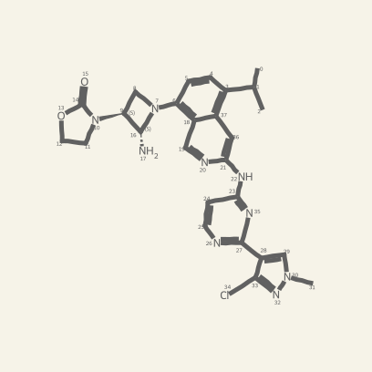 CC(C)c1ccc(N2C[C@H](N3CCOC3=O)[C@H]2N)c2cnc(Nc3ccnc(-c4cn(C)nc4Cl)n3)cc12